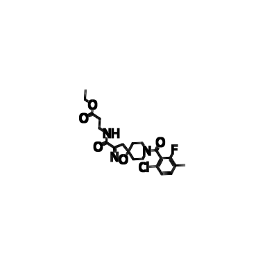 CCOC(=O)CCNC(=O)C1=NOC2(CCN(C(=O)c3c(Cl)ccc(C)c3F)CC2)C1